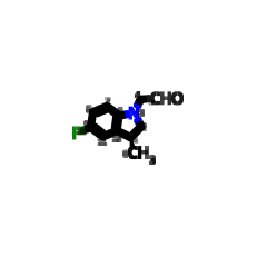 C[C@H]1CN(CC=O)c2ccc(F)cc21